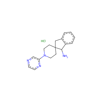 Cl.NC1c2ccccc2CC12CCN(c1cnccn1)CC2